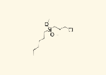 CCCCCC[Si](CCCCl)(OC)OC